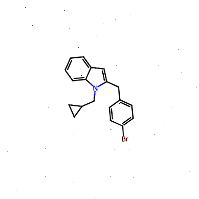 Brc1ccc(Cc2cc3ccccc3n2CC2CC2)cc1